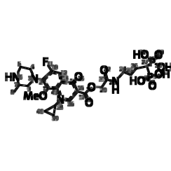 COc1c(N2CCNC(C)C2)c(F)cc2c(=O)c(C(=O)OCC(=O)NCCCC(P(=O)(O)O)P(=O)(O)O)cn(C3CC3)c12